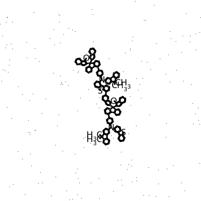 CC1(C)c2ccccc2-c2cc(N(c3ccc(-c4cccc5c4-c4ccccc4C54c5ccc6ccccc6c5Oc5c4ccc4ccc(-c6cccc7c6sc6cccc(N(c8ccc(-c9cccc%10c9-c9ccccc9C%109c%10ccc%11ccccc%11c%10Oc%10c9ccc9ccccc%109)cc8)c8ccc9c(c8)-c8ccccc8C9(C)C)c67)cc54)cc3)c3ccc4sc5ccccc5c4c3)ccc21